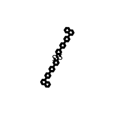 c1ccc2c(-c3ccc(-c4ccc(-c5ccc6c(c5)sc5c7ccc(-c8ccc(-c9ccc(-c%10cccc%11ccccc%10%11)cc9)cc8)cc7sc65)cc4)cc3)cccc2c1